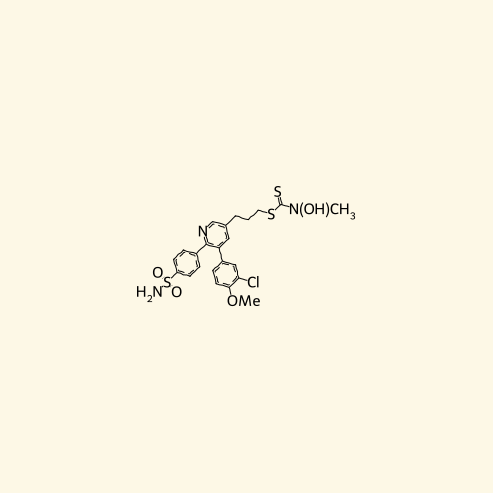 COc1ccc(-c2cc(CCCSC(=S)N(C)O)cnc2-c2ccc(S(N)(=O)=O)cc2)cc1Cl